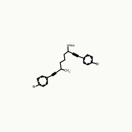 [CH2]C(C#Cc1ccc(Br)cc1)CCCC(C#Cc1ccc(Br)cc1)CCCCCC